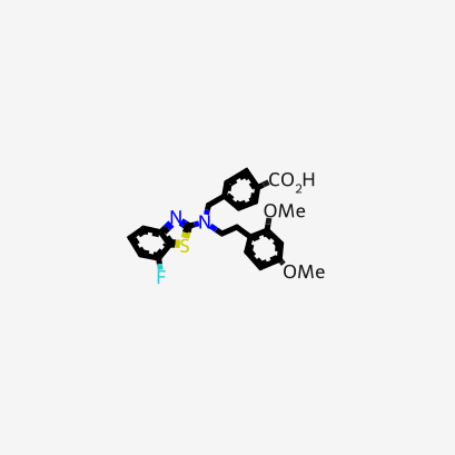 COc1ccc(CCN(Cc2ccc(C(=O)O)cc2)c2nc3cccc(F)c3s2)c(OC)c1